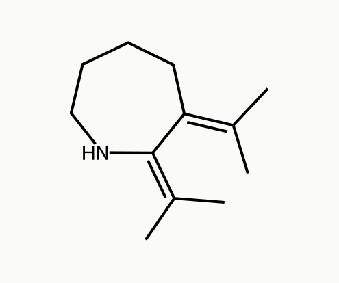 CC(C)=C1CCCCNC1=C(C)C